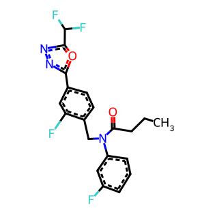 CCCC(=O)N(Cc1ccc(-c2nnc(C(F)F)o2)cc1F)c1cccc(F)c1